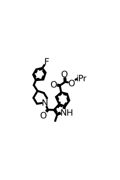 Cc1[nH]c2ccc(C(=O)C(=O)OC(C)C)cc2c1C(=O)N1CCC(Cc2ccc(F)cc2)CC1